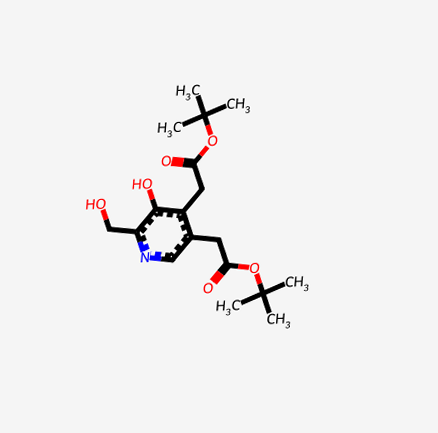 CC(C)(C)OC(=O)Cc1cnc(CO)c(O)c1CC(=O)OC(C)(C)C